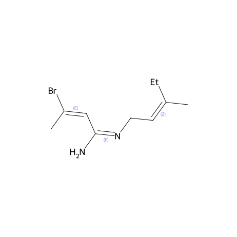 CC/C(C)=C\C/N=C(N)\C=C(/C)Br